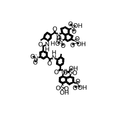 Cc1ccc(C(=O)Nc2ccc(S(=O)(=O)O)c3cc(S(=O)(=O)O)cc(S(=O)(=O)O)c23)cc1NC(=O)c1cc(C(=O)Nc2cc(C(=O)Nc3ccc(S(=O)(=O)O)c4cc(S(=O)(=O)O)cc(S(=O)(=O)O)c34)ccc2C)cc([N+](=O)[O-])c1